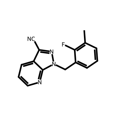 Cc1cccc(Cn2nc(C#N)c3cccnc32)c1F